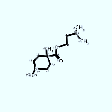 CN(C)CCOC(=O)C1(C)CCN(C(C)(C)C)CC1